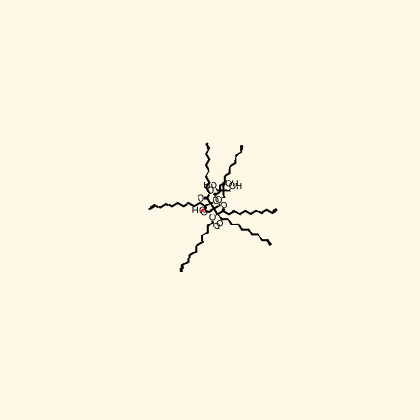 C=CCCCCCCCCC(=O)OC(C(=O)CCCCCCCCC=C)(C(=O)CCCCCCCCC=C)C(CO)(COCC(CO)(CO)CO)C(OC(=O)CCCCCCCCC=C)(C(=O)CCCCCCCCC=C)C(=O)CCCCCCCCC=C